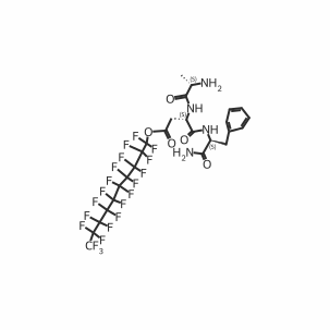 C[C@H](N)C(=O)N[C@@H](CC(=O)OC(F)(F)C(F)(F)C(F)(F)C(F)(F)C(F)(F)C(F)(F)C(F)(F)C(F)(F)C(F)(F)C(F)(F)F)C(=O)N[C@@H](Cc1ccccc1)C(N)=O